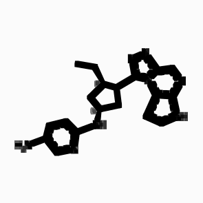 CC[C@@H]1C[C@H](Nc2ccc(N)cn2)CC1c1nnc2cnc3[nH]ccc3n12